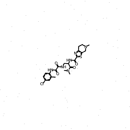 Cc1cc(Cl)ccc1NC(=O)C(=O)NCC(NC(=O)c1nc2c(s1)CN(C)CC2)C(=O)N(C)C